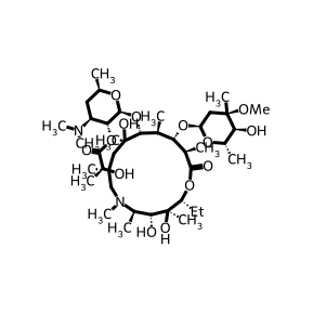 CC[C@H]1OC(=O)[C@H](C)[C@@H](O[C@H]2C[C@@](C)(OC)[C@@H](O)[C@H](C)O2)[C@H](C)[C@@H](O[C@@H]2O[C@H](C)C[C@H](N(C)C)[C@H]2OC(=O)[C@H](C)O)[C@](C)(O)C[C@@H](C)CN(C)[C@H](C)[C@@H](O)[C@]1(C)O